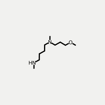 CNCCCCN(C)CCCOC